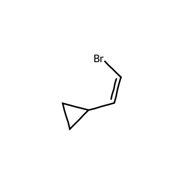 Br/C=C\C1CC1